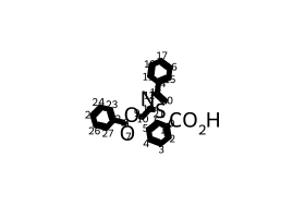 O=C(O)c1ccccc1.O=C(OCc1nc(-c2ccccc2)cs1)c1ccccc1